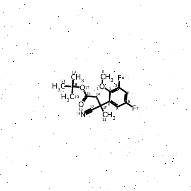 COc1c(F)cc(F)cc1C(C)(C#N)CC(=O)OC(C)(C)C